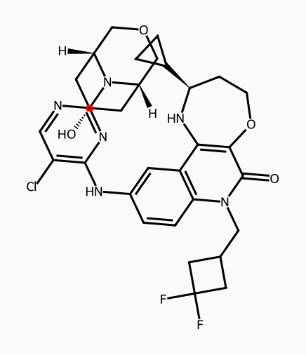 O=c1c2c(c3cc(Nc4nc(N5[C@@H]6COC[C@H]5C[C@@H](O)C6)ncc4Cl)ccc3n1CC1CC(F)(F)C1)N[C@@H](C1CC1)CCO2